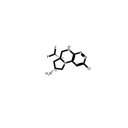 N[C@H]1CN2c3cc(Cl)nnc3NC[C@]2(C(F)F)C1